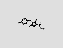 Cc1cc(C(=O)CBr)c(C)n1Cc1ccc(F)cc1